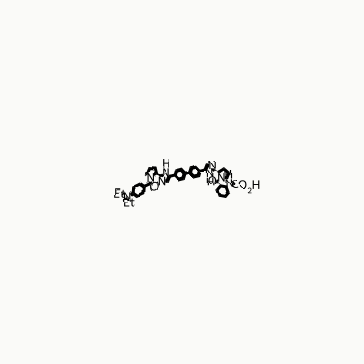 CCN(CC)C1CCC(C(=O)N2CCC[C@H]2c2ncc(-c3ccc(-c4ccc(-c5cnc([C@@H]6CCCN6C(=O)[C@H]6CCCC[C@H]6NC(=O)O)[nH]5)cc4)cc3)[nH]2)CC1